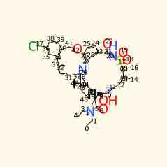 CCN(CC)C(=O)C[C@]1(O)/C=C/C[C@H](C)[C@@H](C)S(=O)(=O)NC(=O)c2ccc3c(c2)N(CCCCc2cc(Cl)ccc2CO3)C[C@@H]2CC[C@H]21